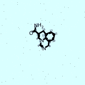 NC(=O)C1=CN2C=NCc3cccc(c32)C1